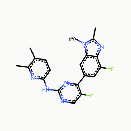 Cc1ccc(Nc2ncc(F)c(-c3cc(F)c4nc(C)n(C(C)C)c4c3)n2)nc1C